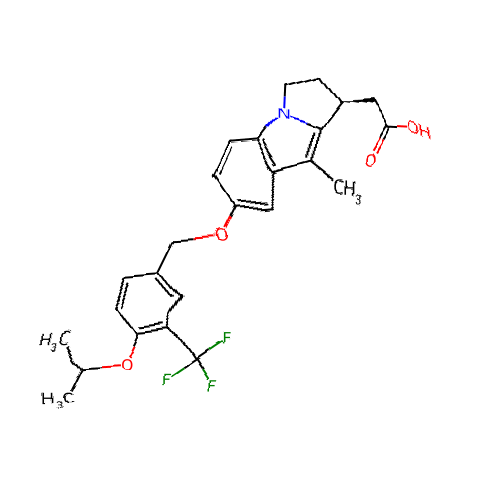 Cc1c2n(c3ccc(OCc4ccc(OC(C)C)c(C(F)(F)F)c4)cc13)CC[C@H]2CC(=O)O